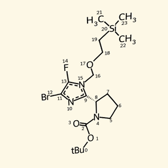 CC(C)(C)OC(=O)N1CCC[C@H]1c1nc(Br)c(F)n1COCC[Si](C)(C)C